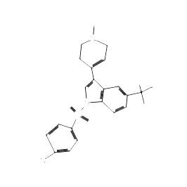 CN1CC=C(c2cn(S(=O)(=O)c3ccc(N)cc3)c3ccc(C(F)(F)F)cc23)CC1